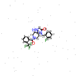 O=C(c1ccccc1C(F)(F)F)N1CCC2(CC1)NCC(=O)N2Cc1ccccc1F